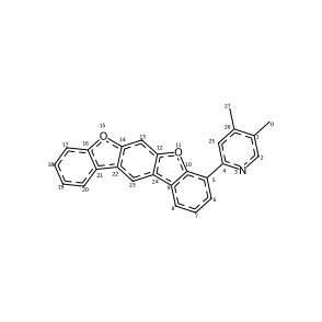 Cc1cnc(-c2cccc3c2oc2cc4oc5ccccc5c4cc23)cc1C